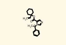 C=CC1(OC(=O)c2cncn2[C@H](C)c2ccccc2)CCCCC1